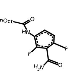 CCCCCCCCC(=O)Nc1ccc(F)c(C(N)=O)c1F